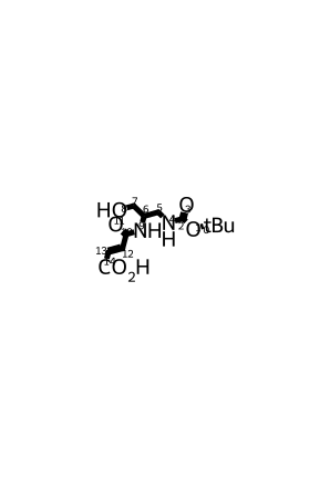 CC(C)(C)OC(=O)NCC(CO)NC(=O)C=CC(=O)O